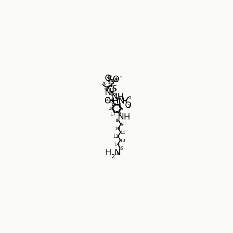 CC(=O)Nc1cc(NCCCCCCCCN)ccc1C(=O)Nc1nc(C)c([N+](=O)[O-])s1